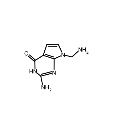 NCn1ccc2c(=O)[nH]c(N)nc21